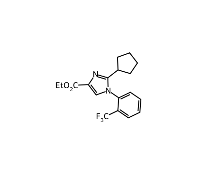 CCOC(=O)c1cn(-c2ccccc2C(F)(F)F)c(C2CCCC2)n1